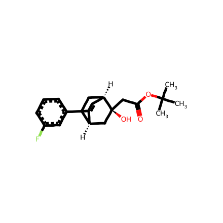 CC(C)(C)OC(=O)C[C@]1(O)C[C@H]2CC[C@@H]1C=C2c1cccc(F)c1